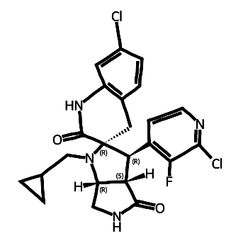 O=C1NC[C@H]2[C@@H]1[C@H](c1ccnc(Cl)c1F)[C@@]1(Cc3ccc(Cl)cc3NC1=O)N2CC1CC1